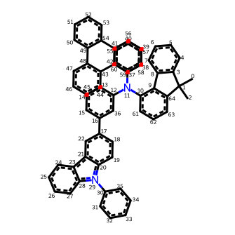 CC1(C)c2ccccc2-c2c(N(c3cccc(-c4ccc5c(c4)c4ccccc4n5-c4ccccc4)c3)c3ccccc3-c3ccccc3-c3ccccc3-c3ccccc3)cccc21